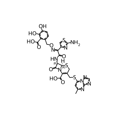 Cc1cc(SCC2=C(C(=O)O)N3C(=O)[C@@H](NC(=O)C(=NOCc4ccc(O)c(O)c4C(=O)O)c4csc(N)n4)[C@H]3SC2)n2ncnc2n1